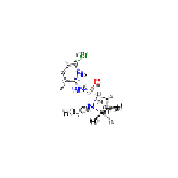 Cc1ccc(Br)nc1NC(=O)[C@@H]1C[C@@H]2C[C@@H]2N1C(=O)O